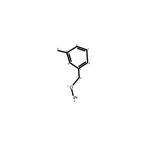 [CH2]c1cccc(COC(C)C)c1